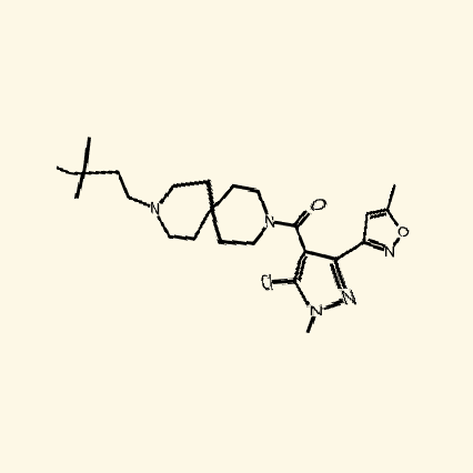 Cc1cc(-c2nn(C)c(Cl)c2C(=O)N2CCC3(CCN(CCC(C)(C)C)CC3)CC2)no1